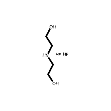 F.F.OCCNCCO